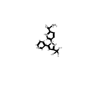 NC(=O)c1ccc(-n2nc(C(F)(F)F)cc2-c2cccnc2)cn1